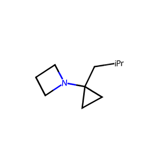 CC(C)CC1(N2CCC2)CC1